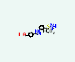 C[C@H](Sc1nncn1C)c1cccc(-n2ncc(-c3ccc(CO)cc3)n2)c1